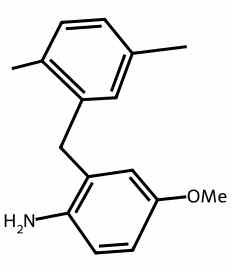 COc1ccc(N)c(Cc2cc(C)ccc2C)c1